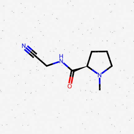 CN1CCC[C@@H]1C(=O)NCC#N